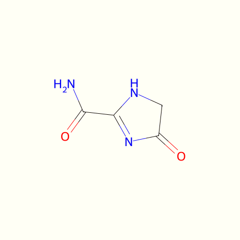 NC(=O)C1=NC(=O)CN1